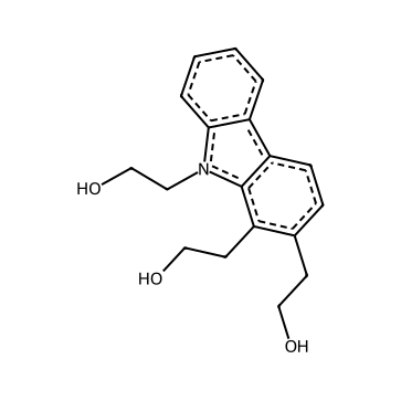 OCCc1ccc2c3ccccc3n(CCO)c2c1CCO